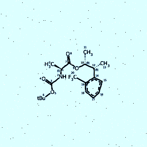 C[C@H](NC(=O)OC(C)(C)C)C(=O)O[C@H](C)[C@H](C)c1ccccc1C(F)(F)F